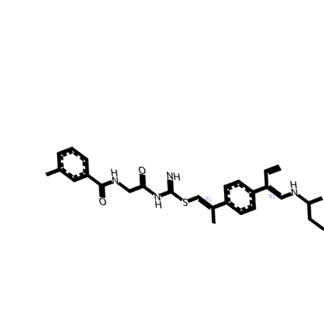 C=C/C(=C\NC(C)CC)c1ccc(/C(C)=C/SC(=N)NC(=O)CNC(=O)c2cccc(C)c2)cc1